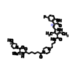 Cc1[nH]c(/C=C2\C(=O)Nc3ccc(F)cc32)c(C)c1C(=O)NCCCN1CCN(C(=O)CCCCC(=O)N[C@H](C(=O)N2CC[C@@H](O)C2)C(C)(C)C)CC1